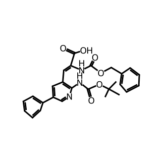 CC(C)(C)OC(=O)Nc1ncc(-c2ccccc2)cc1C=C(NC(=O)OCc1ccccc1)C(=O)O